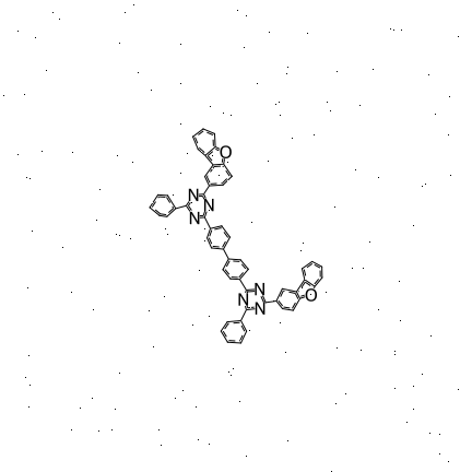 c1ccc(-c2nc(-c3ccc(-c4ccc(-c5nc(-c6ccccc6)nc(-c6ccc7oc8ccccc8c7c6)n5)cc4)cc3)nc(-c3ccc4oc5ccccc5c4c3)n2)cc1